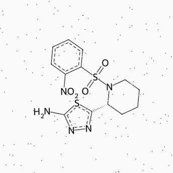 Nc1nnc([C@H]2CCCCN2S(=O)(=O)c2ccccc2[N+](=O)[O-])s1